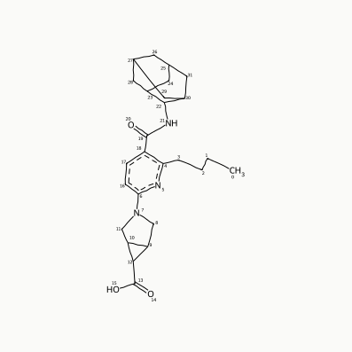 CCCCc1nc(N2CC3C(C2)C3C(=O)O)ccc1C(=O)NC1C2CC3CC(C2)CC1C3